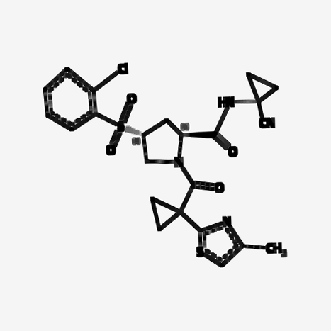 Cc1csc(C2(C(=O)N3C[C@H](S(=O)(=O)c4ccccc4Cl)C[C@H]3C(=O)NC3(C#N)CC3)CC2)n1